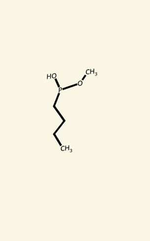 CCCCP(O)OC